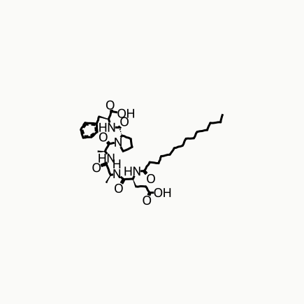 CCCCCCCCCCCCCC(=O)N[C@@H](CCC(=O)O)C(=O)N[C@@H](C)C(=O)N[C@@H](C)C(=O)N1CCC[C@H]1C(=O)N[C@@H](Cc1ccccc1)C(=O)O